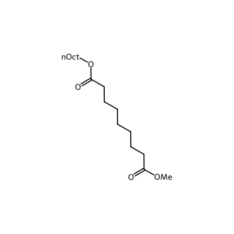 CCCCCCCCOC(=O)CCCCCCCC(=O)OC